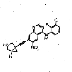 O=[N+]([O-])c1cc2c(Nc3cccc(Cl)c3F)ncnc2cc1C#CC12CNC[C@H]1C2